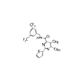 O=C(NCc1cc(C(F)(F)F)cc(C(F)(F)F)c1)c1nc(-c2cccs2)nc(O)c1O